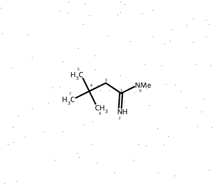 CNC(=N)CC(C)(C)C